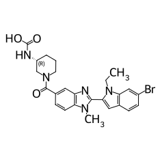 CCn1c(-c2nc3cc(C(=O)N4CCC[C@@H](NC(=O)O)C4)ccc3n2C)cc2ccc(Br)cc21